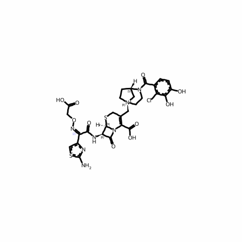 Nc1nc(/C(=N/OCC(=O)O)C(=O)N[C@@H]2C(=O)N3C(C(=O)O)=C(C[N@@+]45CC[C@@H](C4)N(C(=O)c4ccc(O)c(O)c4Cl)CC5)CS[C@H]23)cs1